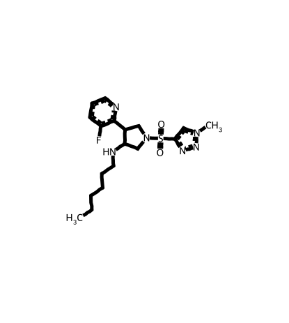 CCCCCCNC1CN(S(=O)(=O)c2cn(C)nn2)CC1c1ncccc1F